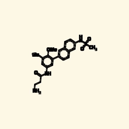 COc1c(-c2ccc3cc(NS(C)(=O)=O)ccc3c2)cc(NC(=O)CCN)cc1C(C)(C)C